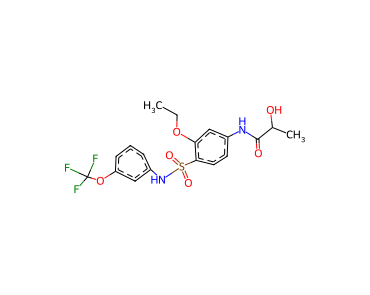 CCOc1cc(NC(=O)C(C)O)ccc1S(=O)(=O)Nc1cccc(OC(F)(F)F)c1